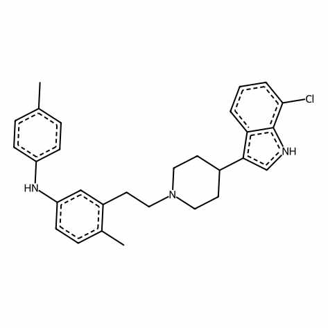 Cc1ccc(Nc2ccc(C)c(CCN3CCC(c4c[nH]c5c(Cl)cccc45)CC3)c2)cc1